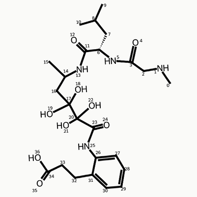 CNCC(=O)N[C@@H](CC(C)C)C(=O)NC(C)CC(O)(O)C(O)(O)C(=O)Nc1ccccc1CCC(=O)O